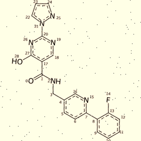 O=C(NCc1ccc(-c2ccccc2F)nc1)c1cnc(-n2cccn2)nc1O